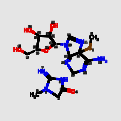 CN1CC(=O)NC1=N.CSC12N=CN([C@@H]3O[C@H](CO)[C@@H](O)[C@H]3O)C1=NCN=C2N